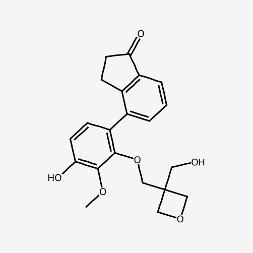 COc1c(O)ccc(-c2cccc3c2CCC3=O)c1OCC1(CO)COC1